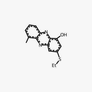 CCSc1cc(O)c2nc3cccc(C)c3nc2c1